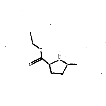 CCOC(=O)C1CCC(C)N1